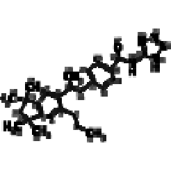 CCCc1cc2c(cc1C(C)=Cc1ccc(C(=O)Nc3nnn[nH]3)cc1)C(C)(C)CC2(C)C